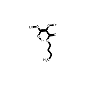 CCOC(OCC)=C(OCC)C(=O)OCCC[SiH3]